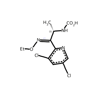 CCO/N=C(\c1ncc(Cl)cc1Cl)[C@H](C)NC(=O)O